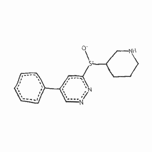 [O-][S+](c1cc(-c2ccccc2)cnn1)C1CCCNC1